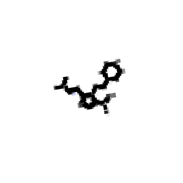 CN(C)/C=C/c1ncc([N+](=O)[O-])n1CCN1CCOCC1